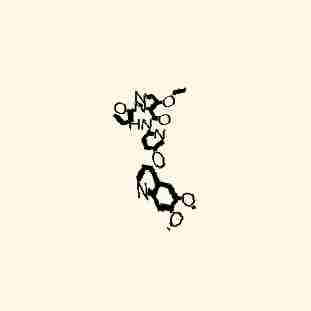 CCOc1cnn(-c2ccco2)c1C(=O)Nc1ccc(Oc2ccnc3cc(OC)c(OC)cc23)cn1